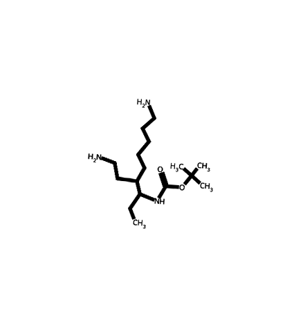 CCC(NC(=O)OC(C)(C)C)C(CCN)CCCCCN